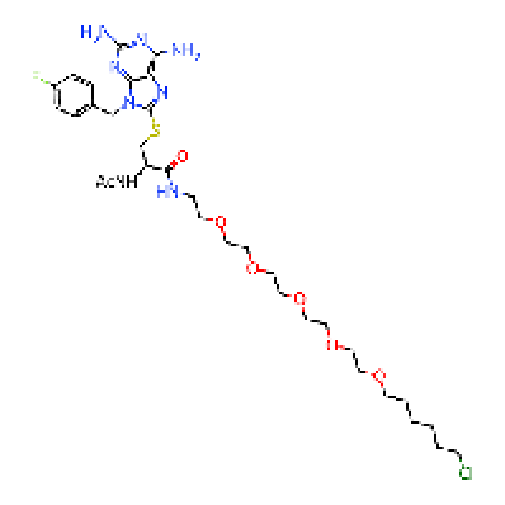 CC(=O)N[C@@H](CSc1nc2c(N)nc(N)nc2n1Cc1ccc(F)cc1)C(=O)NCCOCCOCCOCCOCCOCCCCCCCl